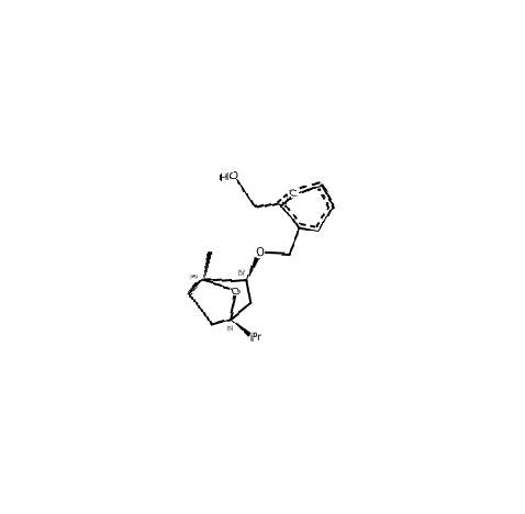 CC(C)[C@@]12CC[C@@](C)(O1)[C@@H](OCc1ccccc1CO)C2